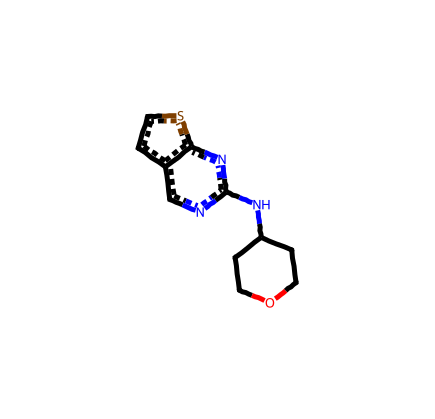 c1cc2cnc(NC3CCOCC3)nc2s1